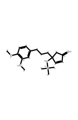 COc1ccc(CCCC2(O[Si](C)(C)C)C=CC(=O)C2)cc1OC